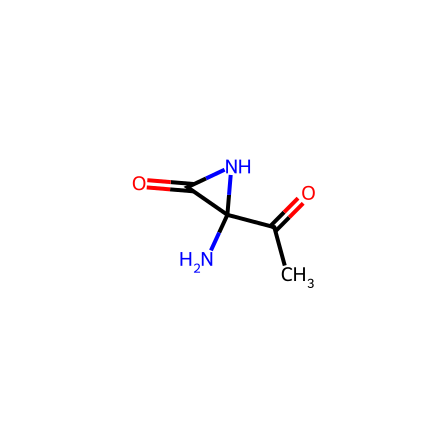 CC(=O)C1(N)NC1=O